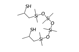 CC(S)C[Si](C)(C)O[Si](C)(C)O[Si](C)(C)O[Si](C)(C)CC(C)S